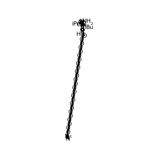 CCCCc1nc2c(N)nnc(OC(C)C)c2n1C[C@H]1CC[C@H](CNC(=O)C=COCCOCCOCCOCCOCCOCCOCCOCCOCCOCCOCCOCCOCCOCCOCCOCCOCCOCCOCCOCCOCCOCCOCCOCCN=[N+]=[N-])CC1